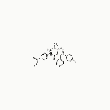 CC(C)C(=O)C(C(=O)Nc1ccc(C(=O)OI)cc1)C(C(=O)c1ccc(F)cc1)c1ccccc1